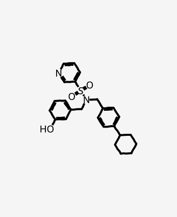 O=S(=O)(c1cccnc1)N(Cc1ccc(C2CCCCC2)cc1)Cc1cccc(O)c1